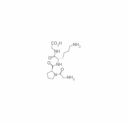 NCCCC[C@H](NC(=O)[C@@H]1CCCN1C(=O)CN)C(=O)NCC(=O)O